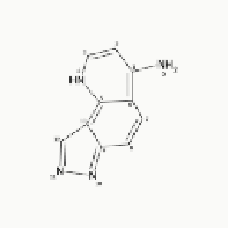 Nc1cc[nH]c2c1ccc1nncc12